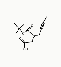 CC#CCN(CC(=O)O)C(=O)OC(C)(C)C